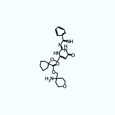 N=C(/N=c1/[nH]c(COC2(C(=O)OCC3(N)CCOCC3)CCCCC2)cc(=O)[nH]1)c1ccccc1